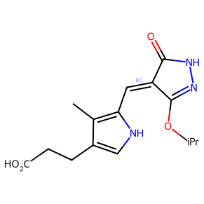 Cc1c(CCC(=O)O)c[nH]c1/C=C1/C(=O)NN=C1OC(C)C